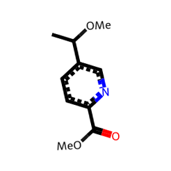 COC(=O)c1ccc(C(C)OC)cn1